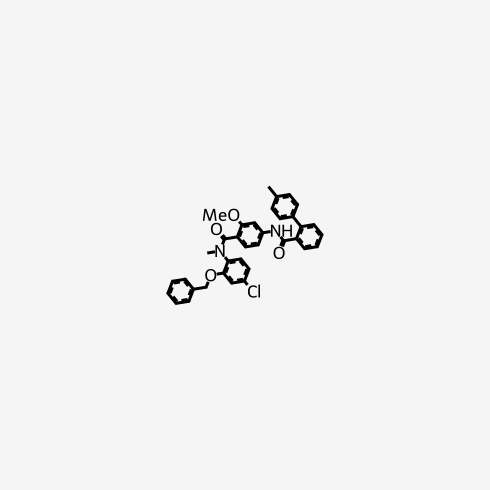 COc1cc(NC(=O)c2ccccc2-c2ccc(C)cc2)ccc1C(=O)N(C)c1ccc(Cl)cc1OCc1ccccc1